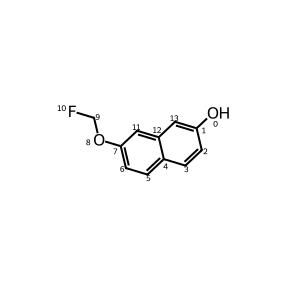 Oc1ccc2ccc(OCF)cc2c1